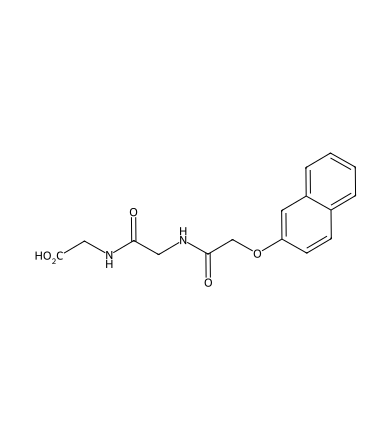 O=C(O)CNC(=O)CNC(=O)COc1ccc2ccccc2c1